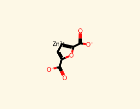 O=C([O-])c1ccc(C(=O)[O-])o1.[Zn+2]